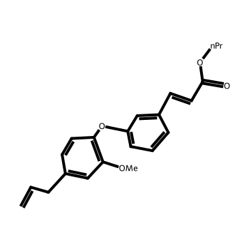 C=CCc1ccc(Oc2cccc(C=CC(=O)OCCC)c2)c(OC)c1